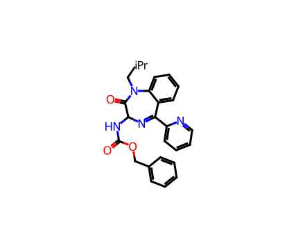 CC(C)CN1C(=O)C(NC(=O)OCc2ccccc2)N=C(c2ccccn2)c2ccccc21